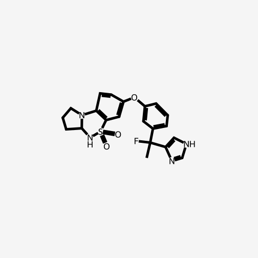 CC(F)(c1cccc(Oc2ccc3c(c2)S(=O)(=O)NC2CCCN32)c1)c1c[nH]cn1